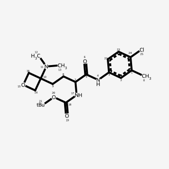 Cc1cc(NC(=O)C(CCC2(N(C)C)COC2)NC(=O)OC(C)(C)C)ccc1Cl